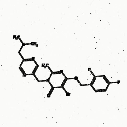 Cc1nc(OCc2ccc(F)cc2F)c(Br)c(=O)n1Cc1cnc(CN(C)C)cn1